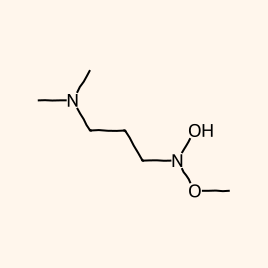 CON(O)CCCN(C)C